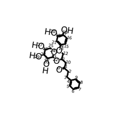 O=C(CCc1ccccc1)CC(COc1ccc(O)c(O)c1)O[C@@H]1OC[C@@H](O)[C@H](O)[C@H]1O